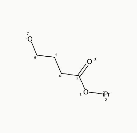 CC(C)OC(=O)CCC[O]